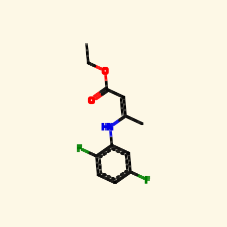 CCOC(=O)/C=C(/C)Nc1cc(F)ccc1F